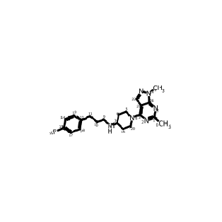 Cc1nc(N2CCC(NCCCc3ccc(F)cc3)CC2)c2cnn(C)c2n1